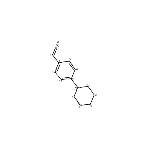 S=[C]c1ccc(C2CCCCC2)cc1